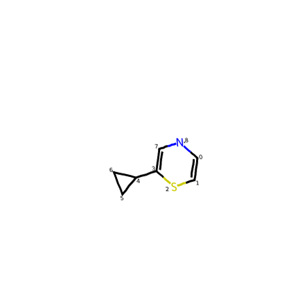 C1=CSC(C2CC2)=C[N]1